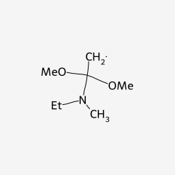 [CH2]C(OC)(OC)N(C)CC